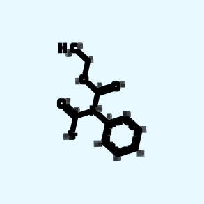 CCOC(=O)N(C(=O)[S])c1ccccc1